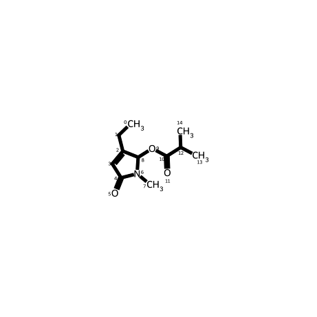 CCC1=CC(=O)N(C)C1OC(=O)C(C)C